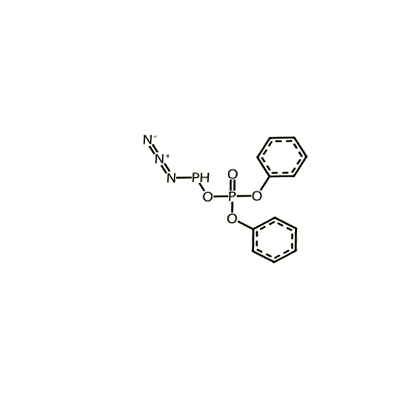 [N-]=[N+]=NPOP(=O)(Oc1ccccc1)Oc1ccccc1